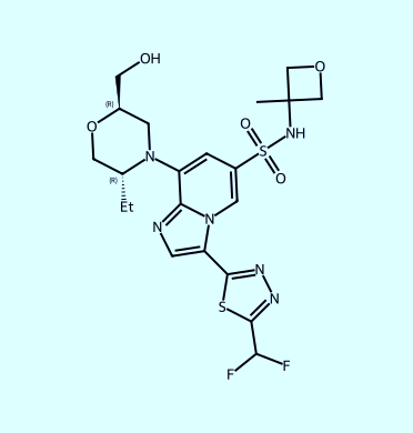 CC[C@@H]1CO[C@@H](CO)CN1c1cc(S(=O)(=O)NC2(C)COC2)cn2c(-c3nnc(C(F)F)s3)cnc12